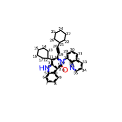 O=c1c2c([nH]c3ccccc32)c(C2CCCCC2)c(C#CC2CCCCC2)n1-c1cccc2cccnc12